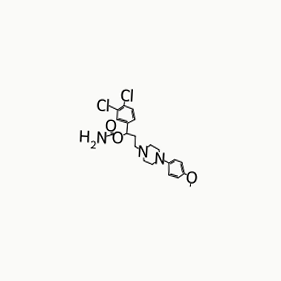 COc1ccc(N2CCN(CCC(OC(N)=O)c3ccc(Cl)c(Cl)c3)CC2)cc1